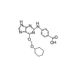 O=C(O)c1ccc(Nc2nc(OCOC3CCCCC3)c3nc[nH]c3n2)cc1